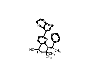 C[C@H](c1ccccc1)N1c2nc(-c3c[nH]c4nccnc34)ccc2C(O)NC1(C)C